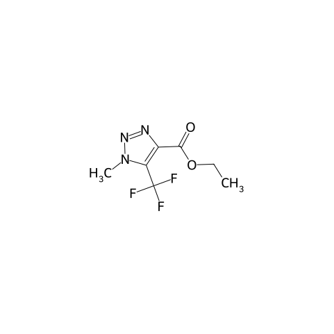 CCOC(=O)c1nnn(C)c1C(F)(F)F